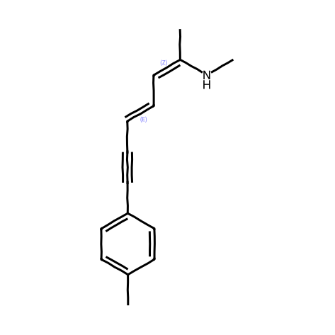 CN/C(C)=C\C=C\C#Cc1ccc(C)cc1